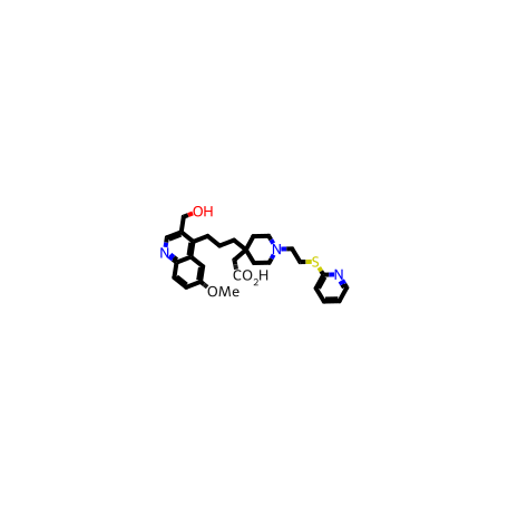 COc1ccc2ncc(CO)c(CCCC3(CC(=O)O)CCN(CCSc4ccccn4)CC3)c2c1